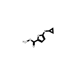 COC(=O)c1ccc(SC2CC2)o1